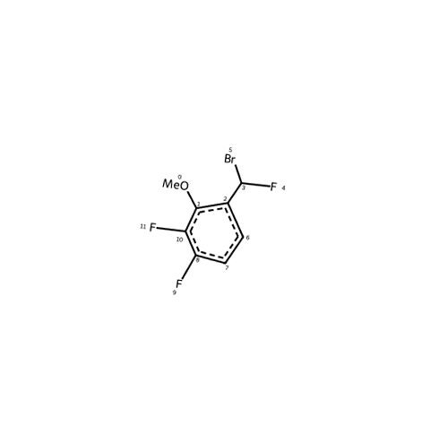 COc1c(C(F)Br)ccc(F)c1F